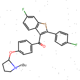 CCCCN1CCCC1Oc1ccc(C(=O)c2c(-c3ccc(F)cc3)sc3cc(F)ccc23)cc1